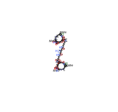 COc1cc2cc(c1Cl)N(C)C(=O)C[C@H](OC(=O)[C@H](C)N(C)C(=O)CCCCCNC(=O)CCC(N)CCC(=O)NCCCCCC(=O)N(C)[C@@H](C)C(=O)O[C@H]1CC(=O)N(C)c3cc(cc(OC)c3Cl)C/C(C)=C/C=C/[C@@H](OC)[C@@]3(O)CC(OC(=O)N3)[C@@H](C)C3O[C@]31C)[C@]1(C)OC1[C@H](C)C1C[C@@](O)(NC(=O)O1)[C@H](OC)/C=C/C=C(\C)C2